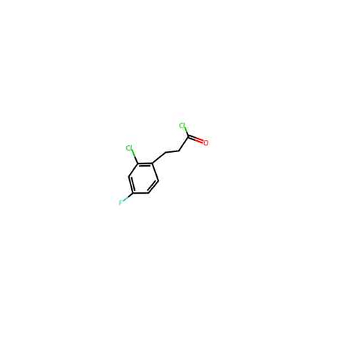 O=C(Cl)CCc1ccc(F)cc1Cl